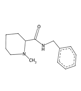 CN1CCCCC1C(=O)NCc1ccccc1